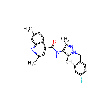 Cc1ccc2c(C(=O)Nc3c(C)nn(Cc4ccc(F)cc4)c3C)cc(C)nc2c1